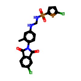 Cc1cc(NCNS(=O)(=O)c2ccc(Cl)s2)ccc1N1C(=O)c2ccc(Cl)cc2C1=O